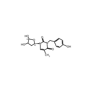 Cc1cn([C@H]2CC(O)[C@@H](O)O2)c(=O)n(Cc2ccc(O)cc2)c1=O